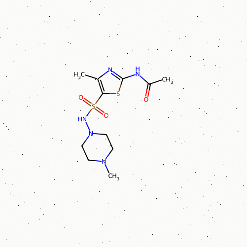 CC(=O)Nc1nc(C)c(S(=O)(=O)NN2CCN(C)CC2)s1